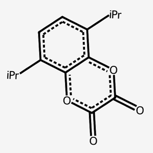 CC(C)c1ccc(C(C)C)c2oc(=O)c(=O)oc12